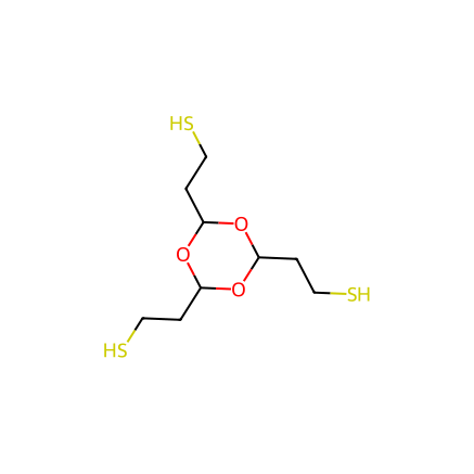 SCCC1OC(CCS)OC(CCS)O1